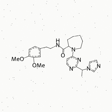 COc1ccc(CCNC(=O)C2CCCCCN2c2ccnc(C(C)n3ccnc3)n2)cc1OC